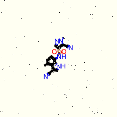 Cc1ccc(NS(=O)(=O)c2cnn(C)c2C#N)c2[nH]cc(C#N)c12